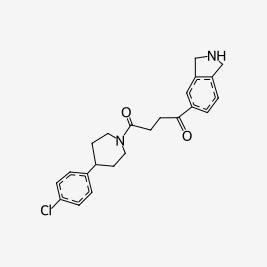 O=C(CCC(=O)N1CCC(c2ccc(Cl)cc2)CC1)c1ccc2c(c1)CNC2